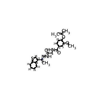 COc1cc(C(=O)NCC(=O)N/N=C(\C)c2csc3ccccc23)ccc1OC(C)C